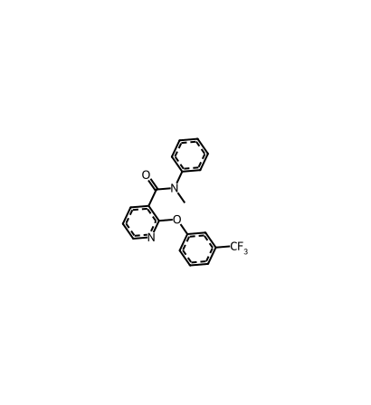 CN(C(=O)c1cccnc1Oc1cccc(C(F)(F)F)c1)c1ccccc1